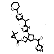 CC(c1ccn(C2CCCCO2)n1)c1nc(C2CN(C(=O)c3cncs3)CC23CN(C(=O)[C@H]2CC2(C)C)C3)no1